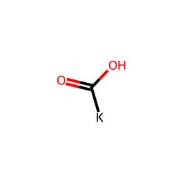 O=[C](O)[K]